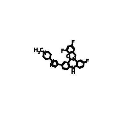 CN1CCC(n2cc(-c3ccc4c(c3)C(=O)N(Cc3cc(F)cc(F)c3)c3cc(F)ccc3N4)cn2)CC1